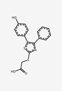 O=C(O)CSc1nc(-c2ccccc2)c(-c2ccc(O)cc2)s1